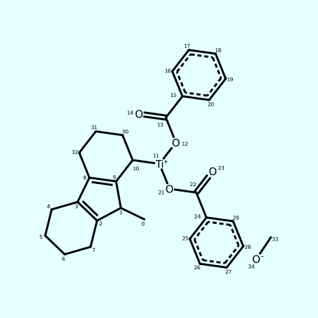 CC1C2=C(CCCC2)C2=C1[CH]([Ti+]([O]C(=O)c1ccccc1)[O]C(=O)c1ccccc1)CCC2.C[O-]